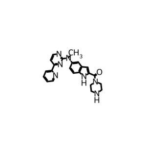 CN(c1ccc2[nH]c(C(=O)N3CCNCC3)cc2c1)c1nccc(-c2ccccn2)n1